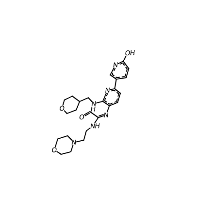 O=C/C(=N\c1ccc(-c2ccc(O)nc2)nc1NCC1CCOCC1)NCCN1CCOCC1